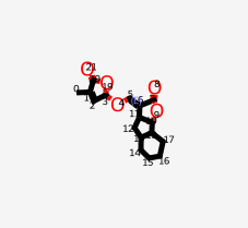 CC1=CC(O/C=C2/C(=O)OC3C2CC2CCCCC23)OC1=O